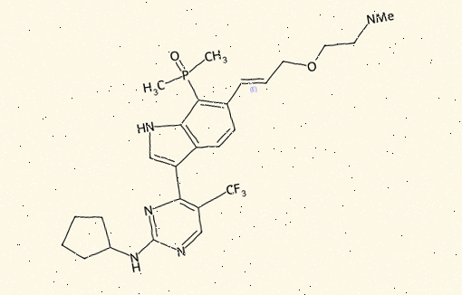 CNCCOC/C=C/c1ccc2c(-c3nc(NC4CCCC4)ncc3C(F)(F)F)c[nH]c2c1P(C)(C)=O